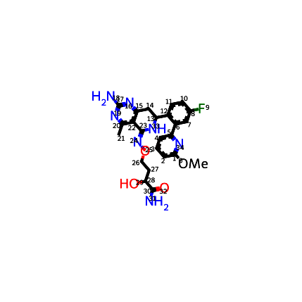 COc1cccc(-c2cc(F)ccc2C2Cc3nc(N)nc(C)c3C(=NOCCC(O)C(N)=O)N2)n1